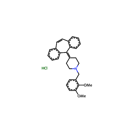 COc1cccc(CN2CCC(=C3c4ccccc4C=Cc4ccccc43)CC2)c1OC.Cl